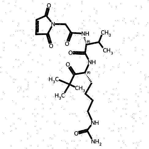 CC(C)[C@@H](NC(=O)CN1C(=O)C=CC1=O)C(=O)N[C@H](CCCCNC(N)=O)C(=O)C(C)(C)C